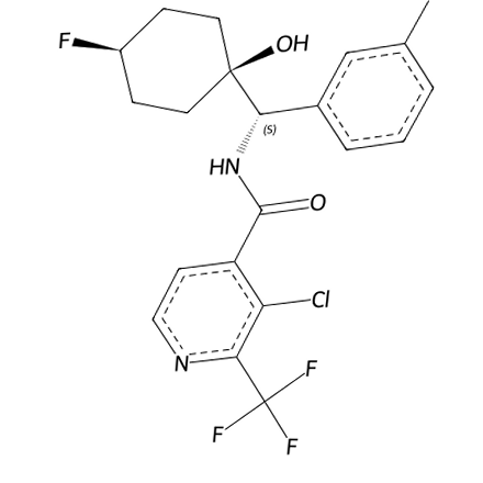 O=C(N[C@@H](c1cccc(Cl)c1)[C@]1(O)CC[C@@H](F)CC1)c1ccnc(C(F)(F)F)c1Cl